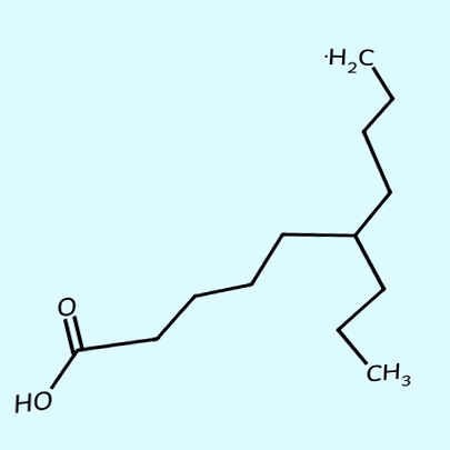 [CH2]CCCC(CCC)CCCCC(=O)O